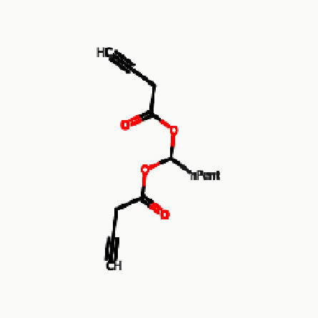 C#CCC(=O)OC(CCCCC)OC(=O)CC#C